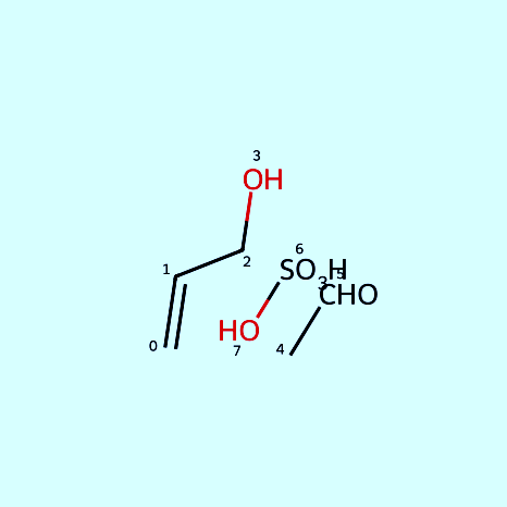 C=CCO.CC=O.O=S(=O)(O)O